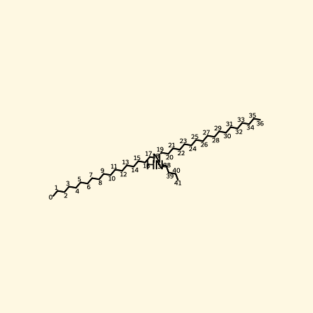 CCCCCCCCCCCCCCCCCCN(CCCCCCCCCCCCCCCCCC)NCCCC